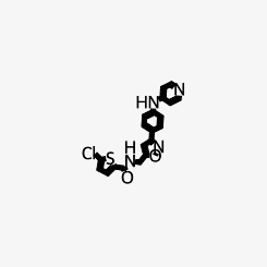 O=C(NCc1cc(-c2ccc(Nc3ccncc3)cc2)no1)c1ccc(Cl)s1